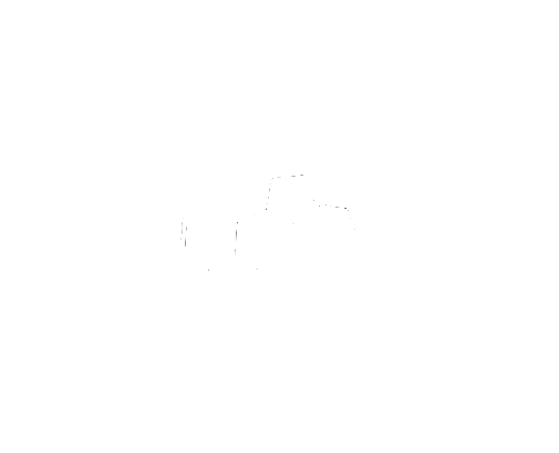 CC(=O)N1CCC(c2cccnc2F)C1